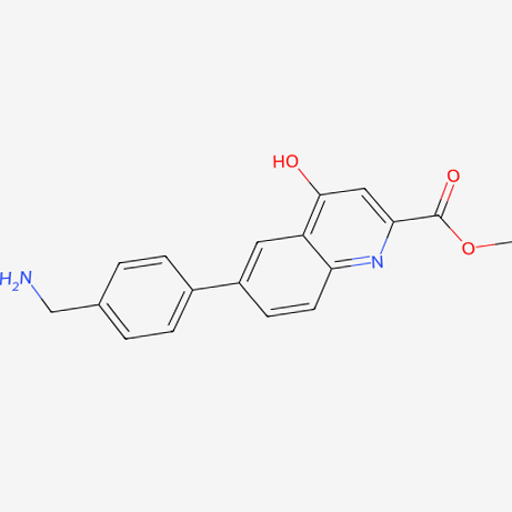 COC(=O)c1cc(O)c2cc(-c3ccc(CN)cc3)ccc2n1